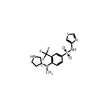 CN(c1ccc(S(=O)(=O)Nc2cscn2)cc1C(F)(F)F)[C@H]1CCNC1